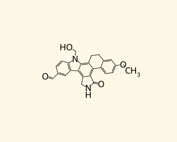 COc1ccc2c(c1)CCc1c-2c2c(c3c4cc(C=O)ccc4n(CO)c13)CNC2=O